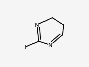 IC1=NCCC=N1